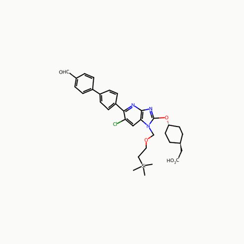 C[Si](C)(C)CCOCn1c(O[C@H]2CC[C@H](CC(=O)O)CC2)nc2nc(-c3ccc(-c4ccc(C=O)cc4)cc3)c(Cl)cc21